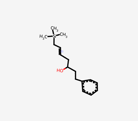 C[Si](C)(C)C/C=C/CC(O)CCc1ccccc1